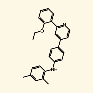 CCOc1ccccc1-c1cc(-c2ccc(Nc3ccc(C)cc3C)cc2)ccn1